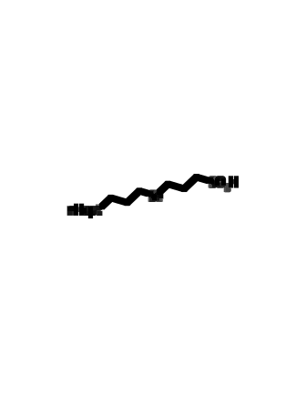 CCCCCCCCCC[Se]CCCS(=O)(=O)O